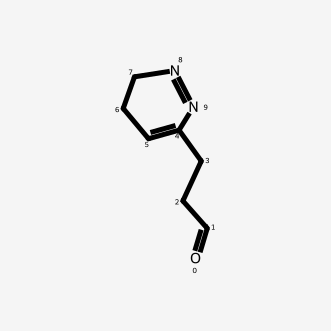 O=[C]CCC1=CCCN=N1